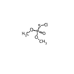 COP(=O)(OC)SCl